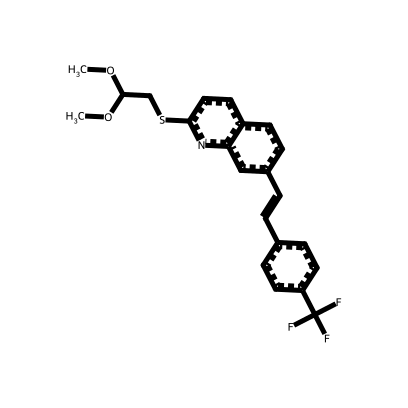 COC(CSc1ccc2ccc(C=Cc3ccc(C(F)(F)F)cc3)cc2n1)OC